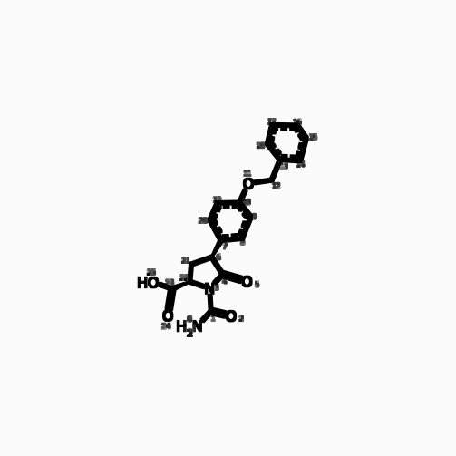 NC(=O)N1C(=O)[C@H](c2ccc(OCc3ccccc3)cc2)C[C@@H]1C(=O)O